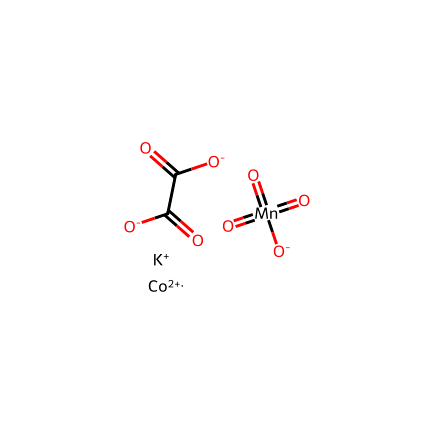 O=C([O-])C(=O)[O-].[Co+2].[K+].[O]=[Mn](=[O])(=[O])[O-]